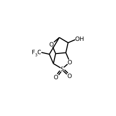 O=S1(=O)OC2C(O)C3OC2C1C3C(F)(F)F